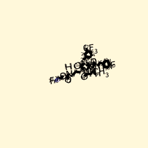 CN1CC(=O)N2[C@@H](CCCNC(=O)OC/C=C/F)C(=O)N(Cc3cccc(C(F)(F)F)c3)C[C@@H]2N1C(=O)NCc1ccc(F)cc1